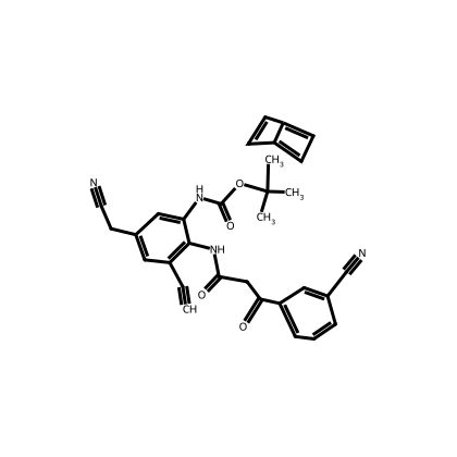 C#Cc1cc(CC#N)cc(NC(=O)OC(C)(C)C)c1NC(=O)CC(=O)c1cccc(C#N)c1.c1cc2ccc1-2